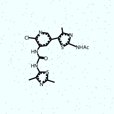 CC(=O)Nc1nc(C)c(-c2cnc(Cl)c(NC(=O)Nc3sc(C)nc3C)c2)s1